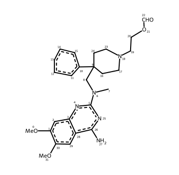 COc1cc2nc(N(C)CC3(c4ccccc4)CCN(CCOC=O)CC3)nc(N)c2cc1OC